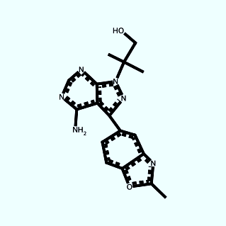 Cc1nc2cc(-c3nn(C(C)(C)CO)c4ncnc(N)c34)ccc2o1